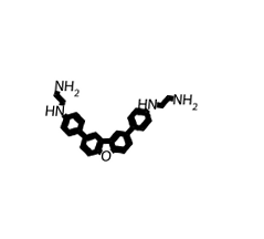 NCCNc1ccc(-c2ccc3oc4ccc(-c5ccc(NCCN)cc5)cc4c3c2)cc1